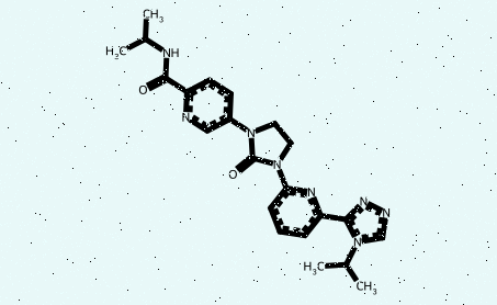 CC(C)NC(=O)c1ccc(N2CCN(c3cccc(-c4nncn4C(C)C)n3)C2=O)cn1